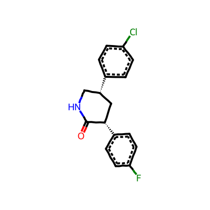 O=C1NC[C@H](c2ccc(Cl)cc2)C[C@@H]1c1ccc(F)cc1